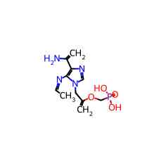 C=C(Cn1cnc(C(=C)N)c1/N=C\C)OCP(=O)(O)O